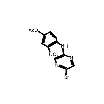 CC(=O)Oc1ccc(Nc2cnc(Br)cn2)c([N+](=O)[O-])c1